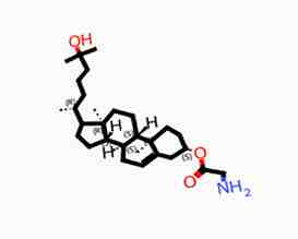 C[C@H](CCCC(C)(C)O)C1CC[C@H]2[C@@H]3CC=C4C[C@@H](OC(=O)CN)CC[C@]4(C)[C@H]3CC[C@]12C